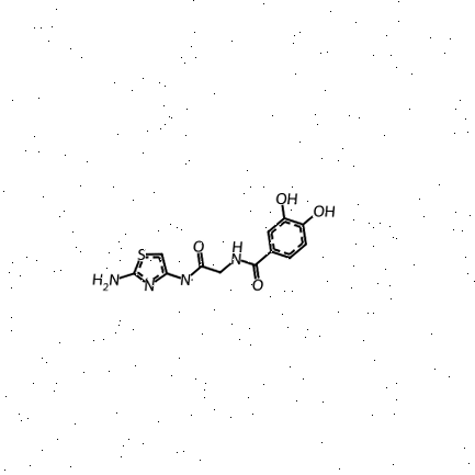 Nc1nc([N]C(=O)CNC(=O)c2ccc(O)c(O)c2)cs1